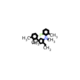 C=CC1=C(N(C)c2c(C)cccc2F)C[C@](C(C)=O)(c2cccc(C)c2C)C1